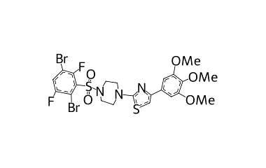 COc1cc(-c2csc(N3CCN(S(=O)(=O)c4c(F)c(Br)cc(F)c4Br)CC3)n2)cc(OC)c1OC